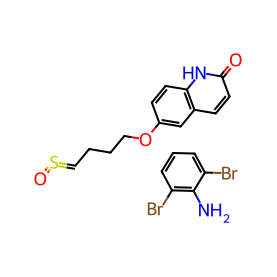 Nc1c(Br)cccc1Br.O=S=CCCCOc1ccc2[nH]c(=O)ccc2c1